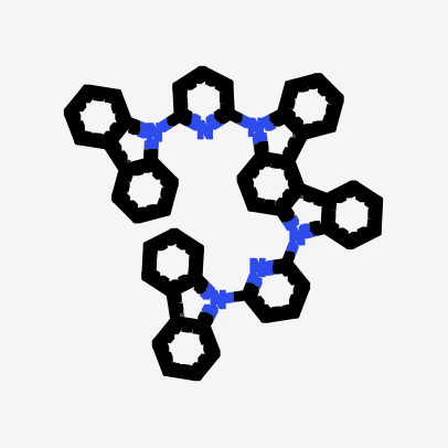 c1cc(-n2c3ccccc3c3ccccc32)nc(-n2c3ccccc3c3c4c5ccccc5n(-c5cccc(-n6c7ccccc7c7ccccc76)n5)c4ccc32)c1